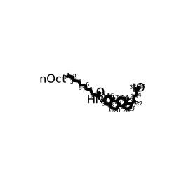 CCCCCCCC/C=C\CCCCCCCC(=O)NC1CCC2(C)C(CCC3C2CCC2(C)C3CCC2[C@H](C)CCC(=O)I)C1